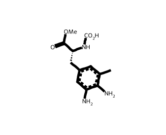 COC(=O)[C@@H](Cc1cc(C)c(N)c(N)c1)NC(=O)O